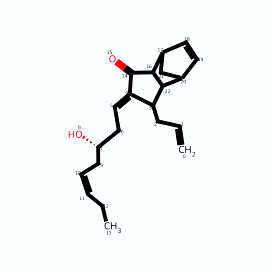 C=CCC1/C(=C\C[C@@H](O)C/C=C\CC)C(=O)C2C3C=CC(C3)C12